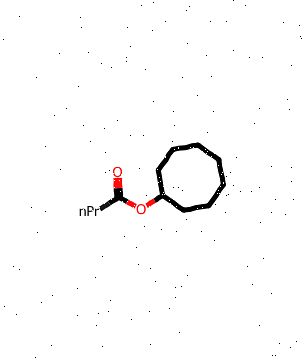 CCCC(=O)OC1CCCCCCC1